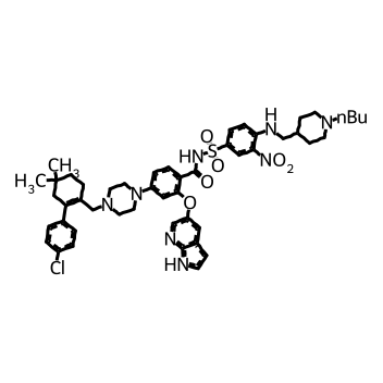 CCCCN1CCC(CNc2ccc(S(=O)(=O)NC(=O)c3ccc(N4CCN(CC5=C(c6ccc(Cl)cc6)CC(C)(C)CC5)CC4)cc3Oc3cnc4[nH]ccc4c3)cc2[N+](=O)[O-])CC1